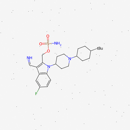 CC(C)(C)C1CCC(N2CCC(n3c(COS(N)(=O)=O)c(C=N)c4cc(F)ccc43)CC2)CC1